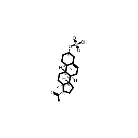 CC(=O)[C@H]1CC[C@H]2[C@@H]3CC=C4C[C@@H](OS(=O)(=O)O)CC[C@]4(C)[C@H]3CC[C@]12C